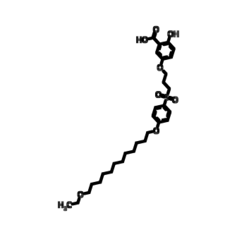 CCOCCCCCCCCCCCCOc1ccc(S(=O)(=O)CCCOc2ccc(O)c(C(=O)O)c2)cc1